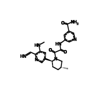 CNc1cc([C@@H]2CC[C@@H](C)CN2C(=O)C(=O)Nc2cncc(C(N)=O)c2)cnc1C=N